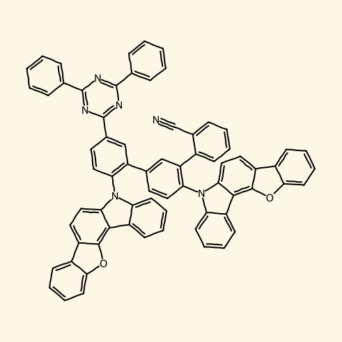 N#Cc1ccccc1-c1cc(-c2cc(-c3nc(-c4ccccc4)nc(-c4ccccc4)n3)ccc2-n2c3ccccc3c3c4oc5ccccc5c4ccc32)ccc1-n1c2ccccc2c2c3oc4ccccc4c3ccc21